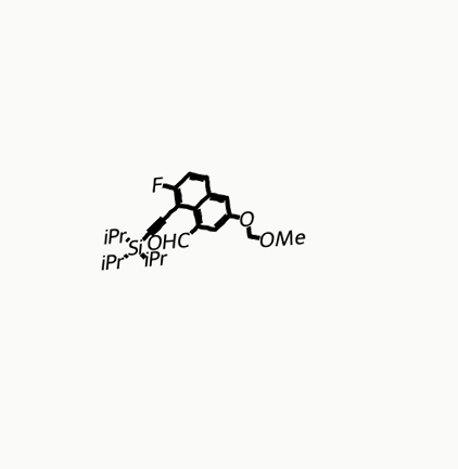 COCOc1cc(C=O)c2c(C#C[Si](C(C)C)(C(C)C)C(C)C)c(F)ccc2c1